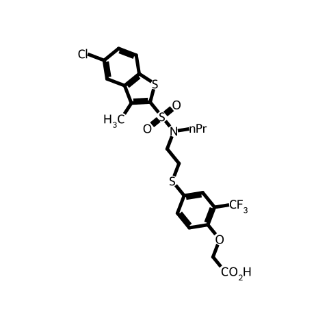 CCCN(CCSc1ccc(OCC(=O)O)c(C(F)(F)F)c1)S(=O)(=O)c1sc2ccc(Cl)cc2c1C